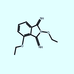 CCOc1cccc2c1C(=N)N(OCC)C2=N